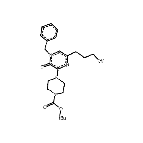 CC(C)(C)OC(=O)N1CCN(c2nc(CCCO)cn(Cc3ccccc3)c2=O)CC1